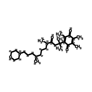 CC1=C(C)C(=O)C(C(C)(C)CC(=O)N(C)CCCN(C)CCCN2CCOCC2)=C(C)C1=O